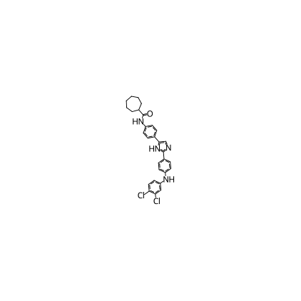 O=C(Nc1ccc(-c2cnc(-c3ccc(Nc4ccc(Cl)c(Cl)c4)cc3)[nH]2)cc1)C1CCCCCC1